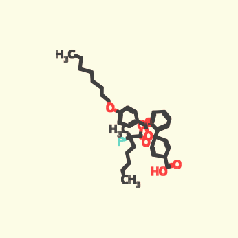 CCCCCCCCOc1ccc(C(=O)OC2(c3ccccc3OC(=O)C(C)(F)CCCCC)C=CC(C(=O)O)C=C2)cc1